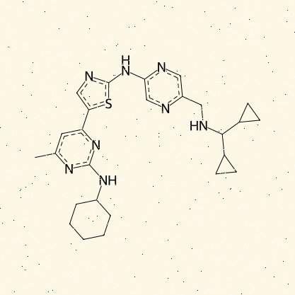 Cc1cc(-c2cnc(Nc3cnc(CNC(C4CC4)C4CC4)cn3)s2)nc(NC2CCCCC2)n1